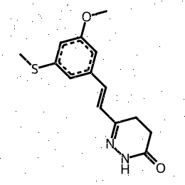 COc1cc(C=CC2=NNC(=O)CC2)cc(SC)c1